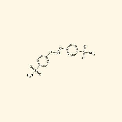 NS(=O)(=O)c1ccc(OBOc2ccc(S(N)(=O)=O)cc2)cc1